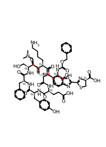 CN(C)CCCC[C@H](NC(=O)[C@H](CO)NC(=O)OCc1ccccc1)C(=O)N[C@@H](CCC(=O)O)C(=O)N[C@@H](Cc1ccc(O)cc1)C(=O)N[C@@H](Cc1ccccc1)C(=O)N[C@@H](CO)C(=O)N[C@@H](CCCCN)C(=O)Nc1ccc2nc(C3=N[C@@H](C(=O)O)CS3)sc2c1